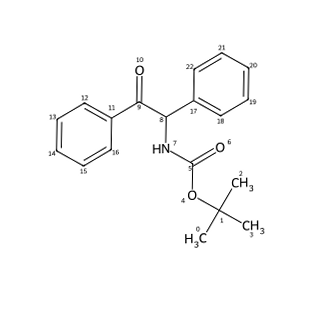 CC(C)(C)OC(=O)NC(C(=O)c1ccccc1)c1ccccc1